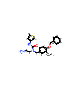 COc1cc(CN(CCN)C(=O)Nc2ccsc2)ccc1OCc1ccccc1